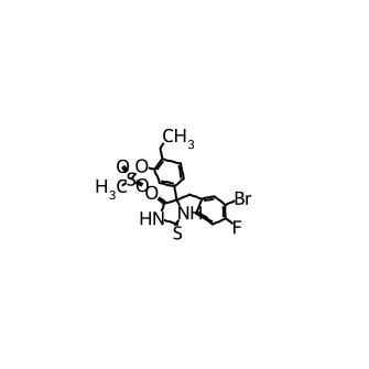 CCc1ccc(C2(Cc3ccc(F)c(Br)c3)NC(=S)NC2=O)cc1OS(C)(=O)=O